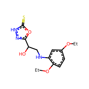 CCOc1ccc(OCC)c(NCC(O)c2n[nH]c(=S)o2)c1